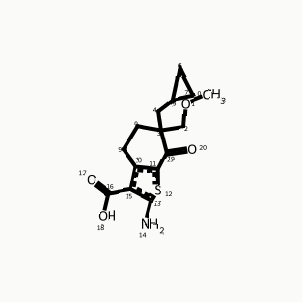 COCC1(CC2CC2)CCc2c(sc(N)c2C(=O)O)C1=O